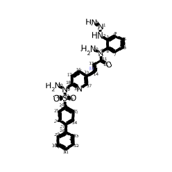 N=NNc1ccccc1N(N)C(=O)/C=C/c1ccc(N(N)S(=O)(=O)c2ccc(-c3ccccc3)cc2)nc1